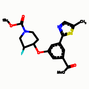 COC(=O)c1cc(OC2CCN(C(=O)OC(C)(C)C)CC2F)cc(-c2ncc(C)s2)c1